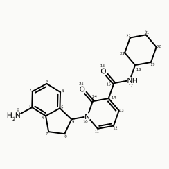 Nc1cccc2c1CCC2n1cccc(C(=O)NC2CCCCC2)c1=O